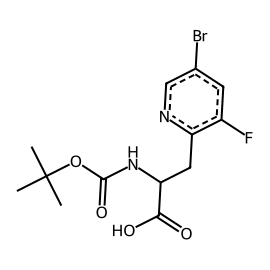 CC(C)(C)OC(=O)NC(Cc1ncc(Br)cc1F)C(=O)O